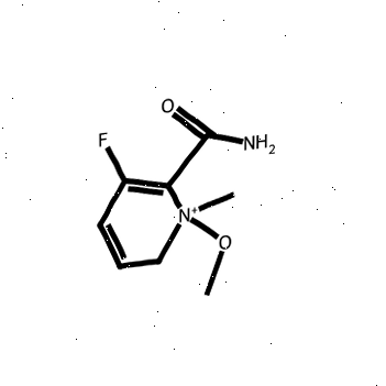 CO[N+]1(C)CC=CC(F)=C1C(N)=O